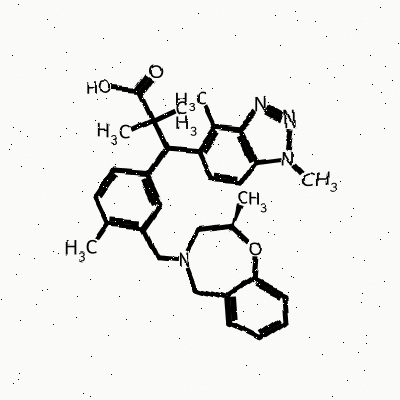 Cc1ccc(C(c2ccc3c(nnn3C)c2C)C(C)(C)C(=O)O)cc1CN1Cc2ccccc2O[C@H](C)C1